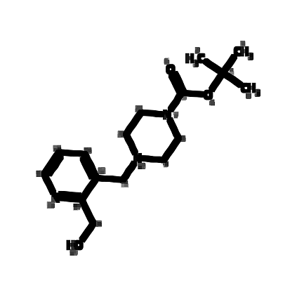 CC(C)(C)OC(=O)N1CCN(Cc2cccnc2CO)CC1